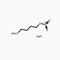 CCCCCCCCCO[SH](=O)=O.[NaH]